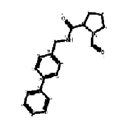 O=CN1CCCC1C(=O)NCc1ccc(-c2ccccc2)cc1